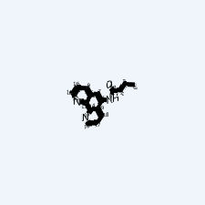 CCCC(=O)Nc1cc2cccnc2c2ncccc12